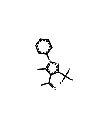 CC(=O)c1c(C(F)(F)F)nn(-c2ccccc2)c1C